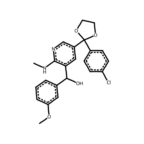 CNc1ncc(C2(c3ccc(Cl)cc3)OCCO2)cc1C(O)c1cccc(OC)c1